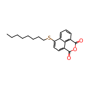 CCCCCCCCSc1ccc2c3c(cccc13)C(=O)OC2=O